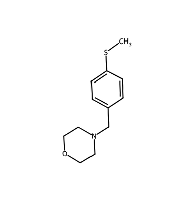 CSc1ccc(CN2CCOCC2)cc1